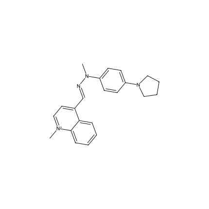 CN(/N=C/c1cc[n+](C)c2ccccc12)c1ccc(N2CCCC2)cc1